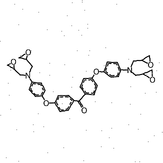 O=C(c1ccc(Oc2ccc(N(CC3CO3)CC3CO3)cc2)cc1)c1ccc(Oc2ccc(N(CC3CO3)CC3CO3)cc2)cc1